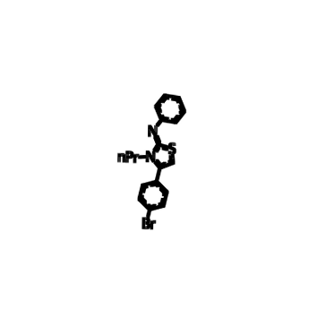 [CH2]CCn1c(-c2ccc(Br)cc2)csc1=Nc1ccccc1